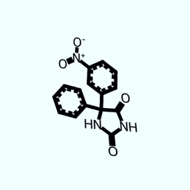 O=C1NC(=O)C(c2ccccc2)(c2cccc([N+](=O)[O-])c2)N1